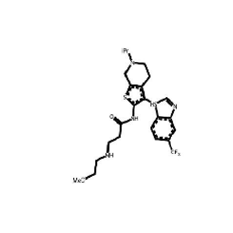 COCCNCCC(=O)Nc1sc2c(c1[SH]1C=Nc3cc(C(F)(F)F)ccc31)CCN(C(C)C)C2